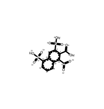 O=C(O)c1c(S(=O)(=O)O)cc2c(S(=O)(=O)O)cccc2c1I(=O)=O